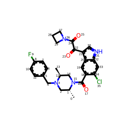 C[C@@H]1CN(Cc2ccc(F)cc2)[C@@H](C)CN1C(=O)c1cc2c(C(=O)C(=O)N3CCC3)c[nH]c2cc1Cl